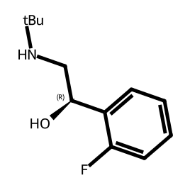 CC(C)(C)NC[C@H](O)c1ccccc1F